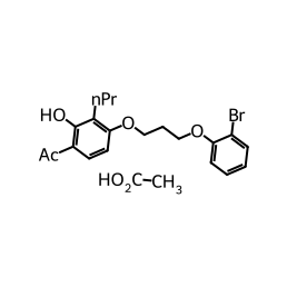 CC(=O)O.CCCc1c(OCCCOc2ccccc2Br)ccc(C(C)=O)c1O